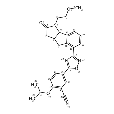 COCCN1C(=O)CC2Cc3c(-c4noc(-c5ccc(OC(C)C)c(C#N)c5)n4)cccc3C21